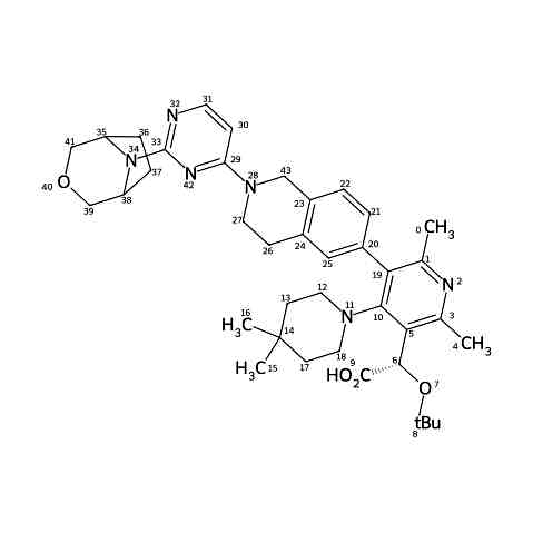 Cc1nc(C)c([C@H](OC(C)(C)C)C(=O)O)c(N2CCC(C)(C)CC2)c1-c1ccc2c(c1)CCN(c1ccnc(N3C4CCC3COC4)n1)C2